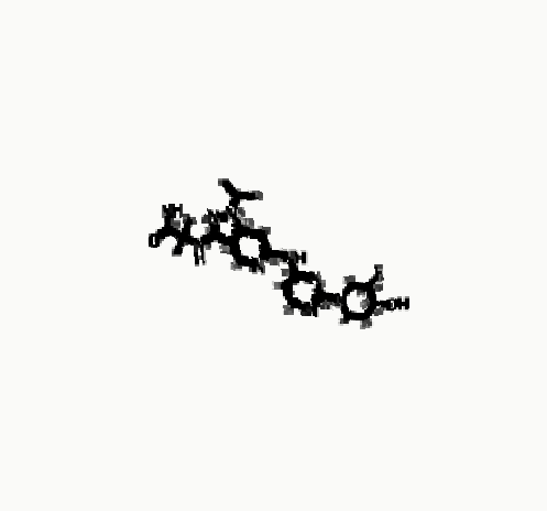 CC(C)n1nc(NC(C)(C)C(N)=O)c2cnc(Nc3ccnc(N4CC[C@H](O)[C@H](F)C4)n3)cc21